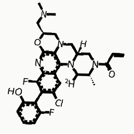 [2H]C1[C@@H](C)N(C(=O)C=C)C[C@H]2CN3C[C@H](CN(C)C)Oc4nc5c(F)c(-c6c(O)cccc6F)c(Cl)cc5c(c43)N12